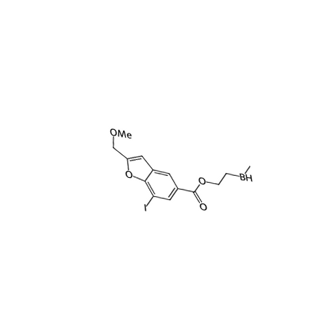 CBCCOC(=O)c1cc(I)c2oc(COC)cc2c1